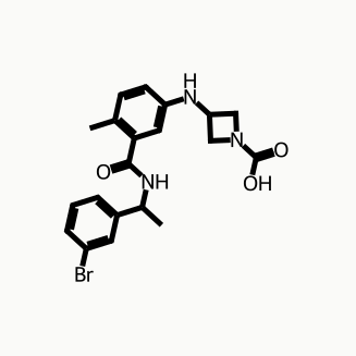 Cc1ccc(NC2CN(C(=O)O)C2)cc1C(=O)NC(C)c1cccc(Br)c1